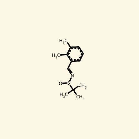 Cc1cccc(C=N[S+]([O-])C(C)(C)C)c1C